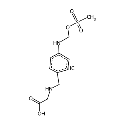 CS(=O)(=O)OCNc1ccc(CNCC(=O)O)cc1.Cl